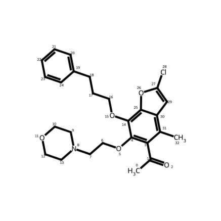 CC(=O)c1c(OCCN2CCOCC2)c(OCCCc2ccccc2)c2oc(Cl)cc2c1C